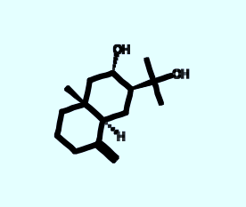 C=C1CCC[C@]2(C)C[C@H](O)[C@@H](C(C)(C)O)C[C@@H]12